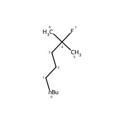 CCCCCCCC(C)(C)F